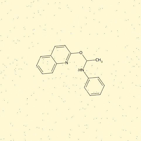 CC(Nc1ccccc1)Oc1ccc2ccccc2n1